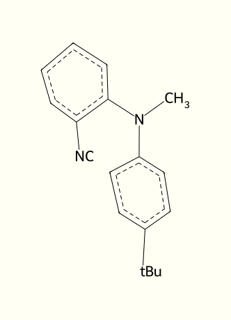 [C-]#[N+]c1ccccc1N(C)c1ccc(C(C)(C)C)cc1